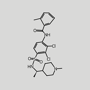 Cc1ccccc1C(=O)Nc1ccc(S(=O)(=O)N[C@H](C)C2CCN(C)CC2)c(Cl)c1Cl